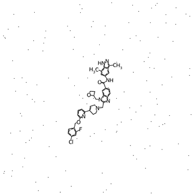 Cc1n[nH]c2c(C)cc(NC(=O)c3ccc4nc(CN5CC=C(c6cccc(OCc7ccc(Cl)cc7F)n6)CC5)n(CC5CCO5)c4c3)cc12